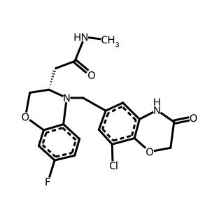 CNC(=O)C[C@H]1COc2cc(F)ccc2N1Cc1cc(Cl)c2c(c1)NC(=O)CO2